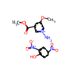 COC(=O)c1cc(OC)c[n+](N)c1.O=[N+]([O-])c1ccc(O)c([N+](=O)[O-])c1